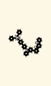 c1ccc(-c2nc(-c3ccccc3)nc(-c3ccc(-c4ccc(-n5c6ccccc6c6cc(-c7cccc8c7oc7c8ccc8c9ccccc9oc87)ccc65)cc4)cc3)n2)cc1